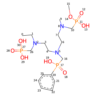 CCN(CCN(CCN(C)CP(=O)(O)OC)CP(=O)(O)c1ccccc1)CP(=O)(O)O